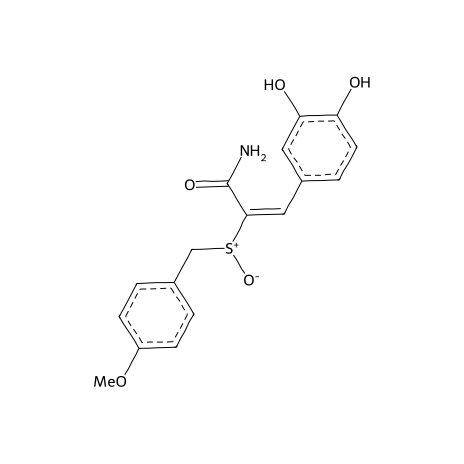 COc1ccc(C[S+]([O-])C(=Cc2ccc(O)c(O)c2)C(N)=O)cc1